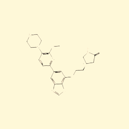 COc1nc(-c2cc(OCC[C@H]3CNC(=O)C3)c3scnc3c2)ccc1N1CCNCC1